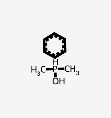 C[PH](C)(O)c1ccccc1